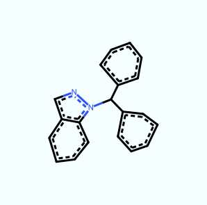 c1ccc(C(c2ccccc2)n2ncc3ccccc32)cc1